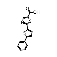 O=C(O)c1cnc(-c2ccc(-c3ccccc3)s2)s1